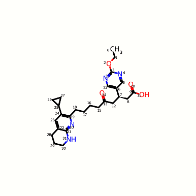 CCOc1ncc([C@@H](CC(=O)O)CC(=O)CCCCc2nc3c(cc2C2CC2)CCCN3)cn1